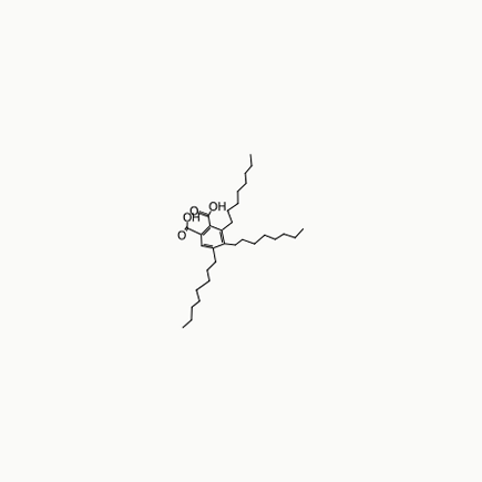 CCCCCCCCc1cc(C(=O)O)c(C(=O)O)c(CCCCCCCC)c1CCCCCCCC